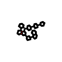 c1ccc(-c2ccc(-c3ccc(N(c4cccc(-c5cccc(-c6cccc7ccccc67)c5)c4)c4ccccc4-c4ccccc4)cc3)cc2)cc1